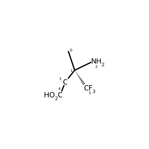 C[C@@](N)(CC(=O)O)C(F)(F)F